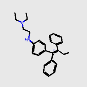 CC/C(=C(\c1ccccc1)c1ccc(NCCN(CC)CC)cc1)c1ccccc1